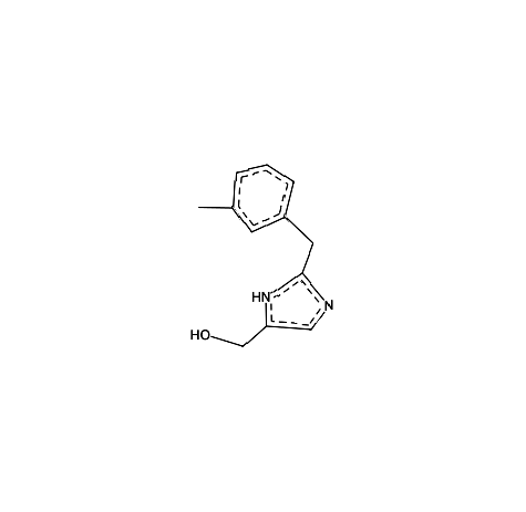 Cc1cccc(Cc2ncc(CO)[nH]2)c1